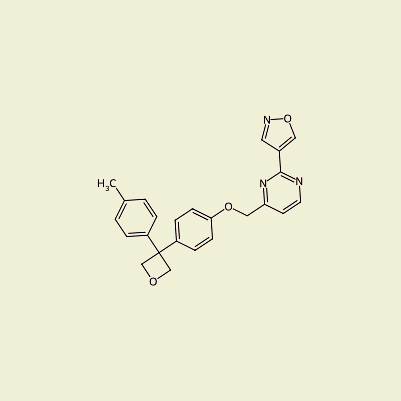 Cc1ccc(C2(c3ccc(OCc4ccnc(-c5cnoc5)n4)cc3)COC2)cc1